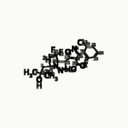 [2H]C([2H])(CC(C)(C)O)n1ncc(-c2onc(-c3c(F)cccc3Cl)c2C(=O)O)c1C(F)(F)F